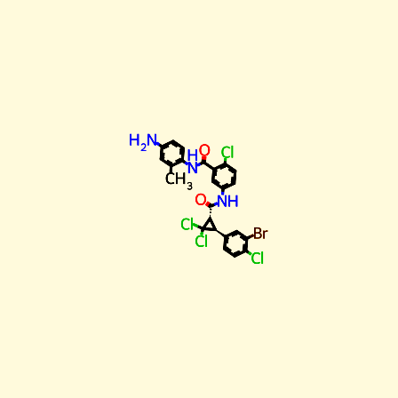 Cc1cc(N)ccc1NC(=O)c1cc(NC(=O)[C@@H]2[C@@H](c3ccc(Cl)c(Br)c3)C2(Cl)Cl)ccc1Cl